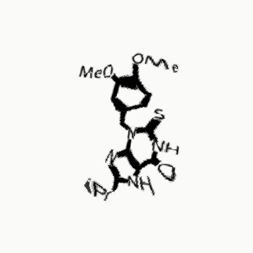 COc1ccc(Cn2c(=S)[nH]c(=O)c3[nH]c(C(C)C)nc32)cc1OC